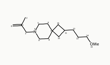 C=C(C)CN1CCC2(CC1)CC(CCCOC)C2